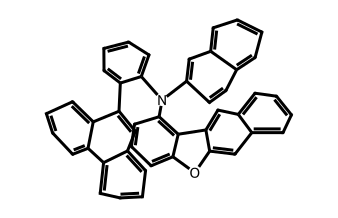 c1ccc(N(c2ccc3ccccc3c2)c2cccc3oc4cc5ccccc5cc4c23)c(-c2cc3ccccc3c3ccccc23)c1